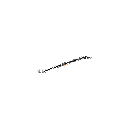 CCCCCCCCCCCCCCCCCCCCCCCCCCC[P]CCCCCCCCCCCCCCCCCCCCCCCCCCC